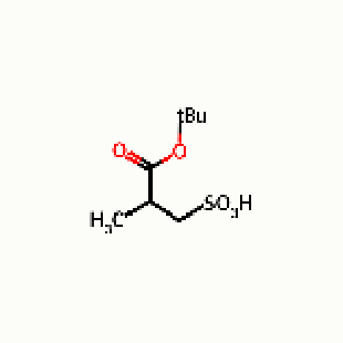 CC(CS(=O)(=O)O)C(=O)OC(C)(C)C